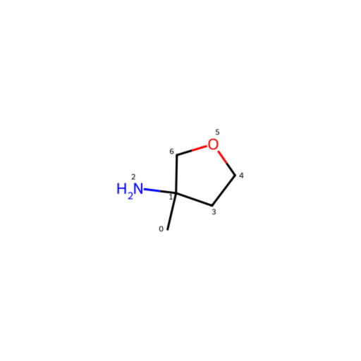 CC1(N)CCOC1